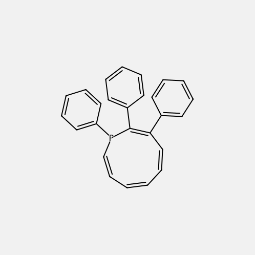 c1ccc(-c2ccccccp(-c3ccccc3)c2-c2ccccc2)cc1